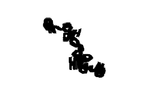 O=C(Nc1cccc(/C=C/c2ncco2)c1)c1ccc(Oc2cccc(C(=O)Nc3cccc(/C=C/c4ncco4)c3)c2)cc1